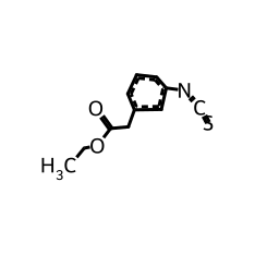 CCOC(=O)Cc1cccc(N=C=S)c1